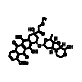 COc1cccc2c1C(=O)c1c(O)c3c(c(O)c1C2=O)C[C@@](O)(C(=O)COC(C)C)C[C@@H]3O[C@H]1C[C@H]2[C@H](O[C@@H]3[C@@H](O)OCCN32)[C@H](C)O1